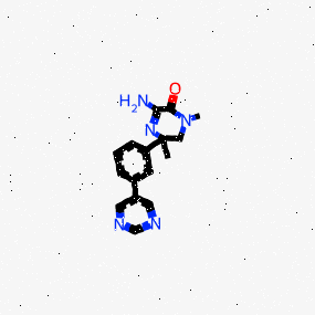 CN1CC(C)(c2cccc(-c3cncnc3)c2)N=C(N)C1=O